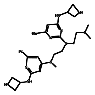 CC(C)c1cc(N(C)CCN(CCN(C)C)c2nc(NC3CNC3)cc(C(C)(C)C)n2)nc(NC2CNC2)n1